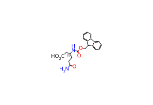 NC(=O)CC[C@@H](CC(=O)O)NC(=O)OCC1c2ccccc2-c2ccccc21